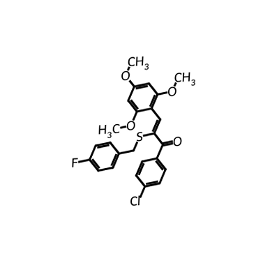 COc1cc(OC)c(C=C(SCc2ccc(F)cc2)C(=O)c2ccc(Cl)cc2)c(OC)c1